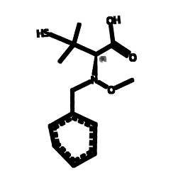 CON(Cc1ccccc1)[C@H](C(=O)O)C(C)(C)S